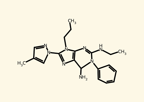 CCCn1c(-n2cc(C)cn2)nc2c1N=C(NCC)N(c1ccccc1)C2N